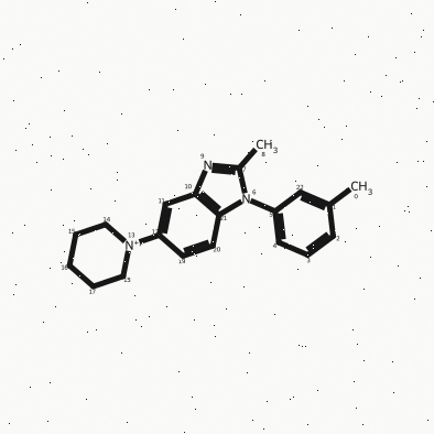 Cc1cccc(-n2c(C)nc3cc([N+]4CCCCC4)ccc32)c1